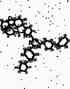 CC1(c2ccccc2)c2nc(-c3nc(-c4ccc(-c5ccccc5)cc4)nc(-c4ccc(-c5ccccc5)cc4)n3)ccc2-c2ccc3oc4ccccc4c3c21